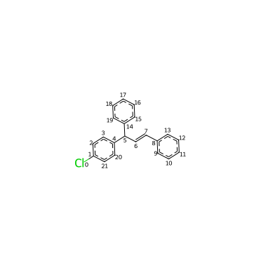 Clc1ccc(C(/C=C/c2ccccc2)c2ccccc2)cc1